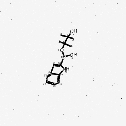 CC(C)(O)C(C)(C)OB(O)c1cc2ccccc2[nH]1